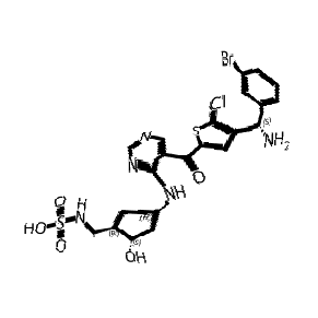 N[C@@H](c1cccc(Br)c1)c1cc(C(=O)c2cncnc2N[C@H]2C[C@H](O)[C@@H]([CH]NS(=O)(=O)O)C2)sc1Cl